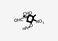 CCCOc1cccc(C)c1[N+](=O)[O-].O=CNC=O